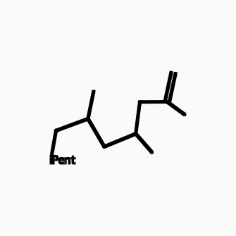 C=C(C)CC(C)CC(C)CC(C)CCC